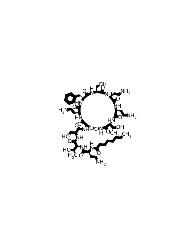 CCCCCCCC(=O)N[C@@H](CCN)C(=O)N[C@H](C(=O)NC(CO)C(=O)N[C@H]1CCNC(=O)[C@H]([C@@H](C)O)NC(=O)[C@H](CCN)NC(=O)[C@H](CCN)NC(=O)[C@H](CO)NC(=O)[C@@H](Cc2ccccc2)NC(=O)[C@H](CCN)NC1=O)[C@@H](C)O